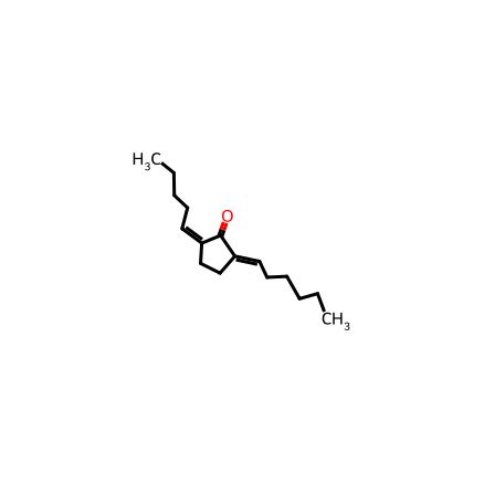 CCCCC=C1CCC(=CCCCCC)C1=O